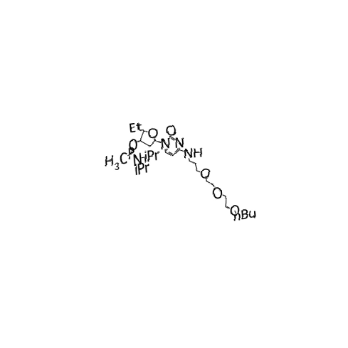 CCCCOCCOCCOCCCNc1ccn([C@H]2C[C@@H](OP(C)N(C(C)C)C(C)C)[C@@H](CC)O2)c(=O)n1